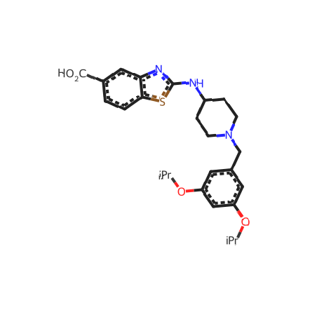 CC(C)Oc1cc(CN2CCC(Nc3nc4cc(C(=O)O)ccc4s3)CC2)cc(OC(C)C)c1